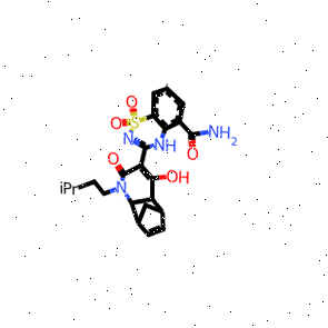 CC(C)CCN1C(=O)C(C2=NS(=O)(=O)c3c[c]cc(C(N)=O)c3N2)=C(O)C2C3C=CC(C3)C21